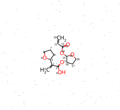 C=C(C(=O)O)C1CCCO1.C=CC(=O)OC1CCCO1